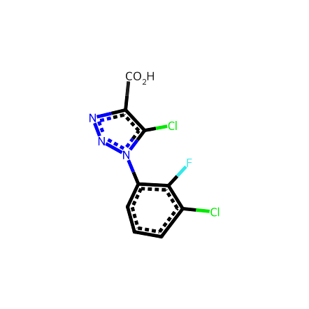 O=C(O)c1nnn(-c2cccc(Cl)c2F)c1Cl